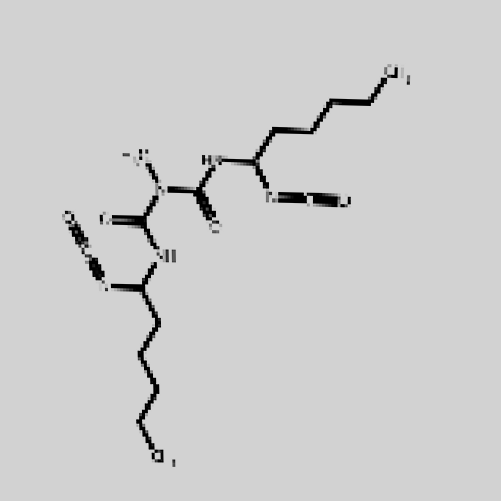 CCCCCC(N=C=O)NC(=O)N(C)C(=O)NC(CCCCC)N=C=O